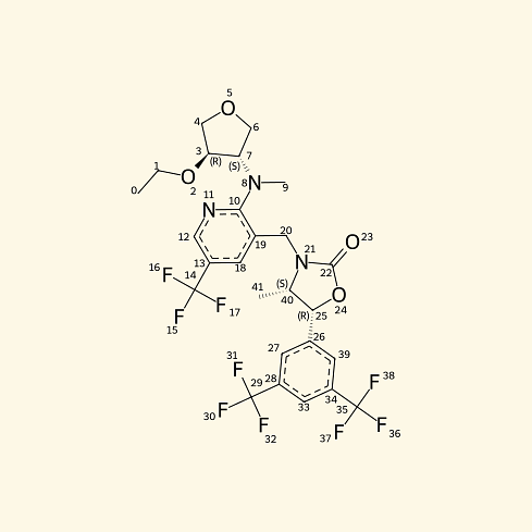 CCO[C@H]1COC[C@@H]1N(C)c1ncc(C(F)(F)F)cc1CN1C(=O)O[C@H](c2cc(C(F)(F)F)cc(C(F)(F)F)c2)[C@@H]1C